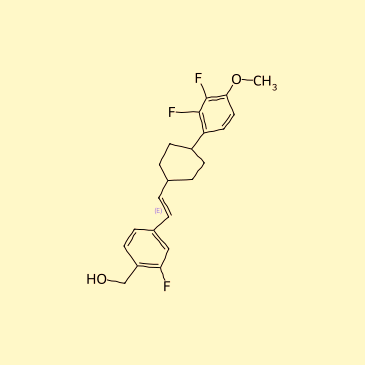 COc1ccc(C2CCC(/C=C/c3ccc(CO)c(F)c3)CC2)c(F)c1F